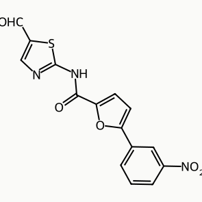 O=Cc1cnc(NC(=O)c2ccc(-c3cccc([N+](=O)[O-])c3)o2)s1